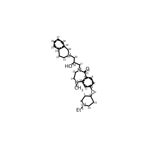 CCN1CCC(Oc2ccc3c(c2)N(C)CCN(CC(O)CN2CCc4ccccc4C2)C3=O)CC1